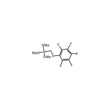 CO[Si](COc1c(F)c(F)c(F)c(F)c1F)(OC)OC